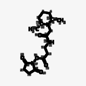 [13CH3][13C@@H]1CCC[13C@H]([13CH3])N1CC(=O)[15NH]CCC(=O)ON1C(=O)CCC1=O